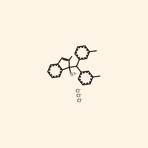 CC1=Cc2ccccc2[C]1([Ti+3])C(c1cccc(C)c1)c1cccc(C)c1.[Cl-].[Cl-].[Cl-]